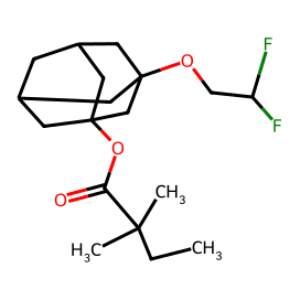 CCC(C)(C)C(=O)OC12CC3CC(CC(OCC(F)F)(C3)C1)C2